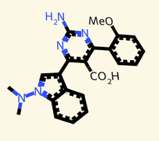 COc1ccccc1-c1nc(N)nc(-c2cn(N(C)C)c3ccccc23)c1C(=O)O